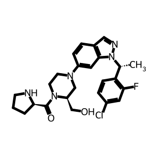 C[C@H](c1ccc(Cl)cc1F)n1ncc2ccc(N3CCN(C(=O)[C@H]4CCCN4)[C@H](CO)C3)cc21